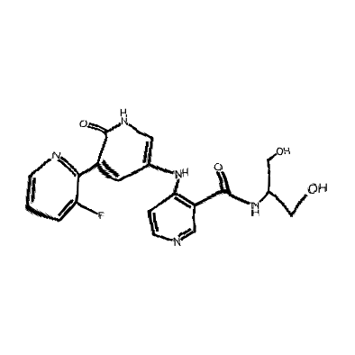 O=C(NC(CO)CO)c1cnccc1Nc1c[nH]c(=O)c(-c2ncccc2F)c1